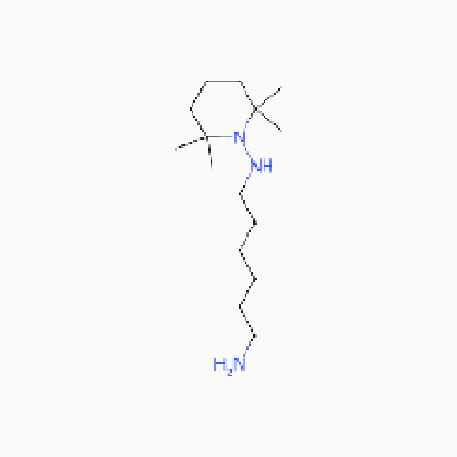 CC1(C)CCCC(C)(C)N1NCCCCCCN